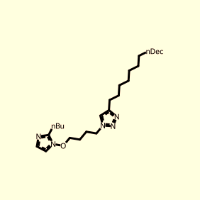 CCCCCCCCCCCCCCCCCc1cn(CCCCOn2ccnc2CCCC)nn1